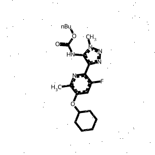 CCCCOC(=O)Nc1c(-c2nc(C)c(OC3CCCCC3)cc2F)nnn1C